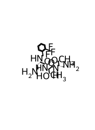 CC(=O)[C@H](CN)NC(=O)[C@@H](NC(=O)[C@H](CCN)NCc1ccccc1C(F)(F)F)[C@H](C)O